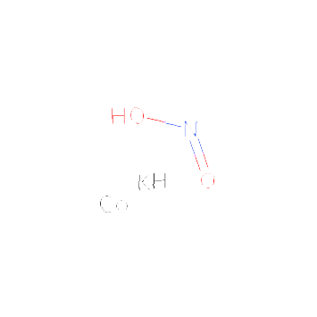 O=NO.[Co].[KH]